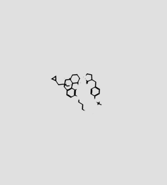 CCCCOc1ccc2c3c1O[C@H]1[C@@H](N4CCC(Cc5ccc(OC(F)(F)F)cc5)C4=O)CC[C@@]4(O)[C@@H](C2)N(CC2CC2)CC[C@]314